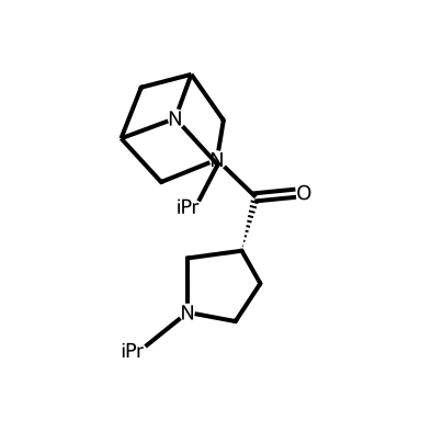 CC(C)CN1C2CC1CN(C(=O)[C@@H]1CCN(C(C)C)C1)C2